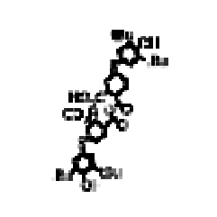 CC(C)(C)c1cc(SC2CCC(C(=O)OC(=O)C3CCC(Sc4cc(C(C)(C)C)c(O)c(C(C)(C)C)c4)CC3C(=O)O)C(C(=O)O)C2)cc(C(C)(C)C)c1O